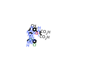 CN(Cc1cnc2nc(N)nc(N)c2n1)c1ccc(C(=O)N[C@@H](CCC(=O)O)C(=O)O)cc1.Clc1cccc(Cl)c1N=C1NCCN1